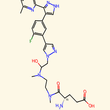 Cc1cccc(-c2n[nH]cc2-c2ccc(F)c(-c3cnn(CC(O)N(C)CCN(C)C(=O)[C@@H](N)CCC(=O)O)c3)c2)n1